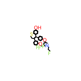 Oc1ccc2c(c1)SCCC(c1ccc(F)c(OC(F)F)c1)=C2c1ccc(O[C@H]2CCN(CCCF)C2)cc1